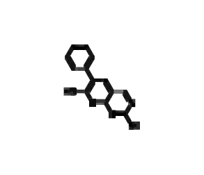 Oc1nc2nc(S)ncc2cc1-c1ccccc1